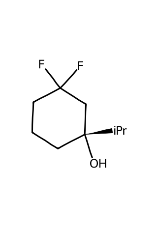 CC(C)[C@@]1(O)CCCC(F)(F)C1